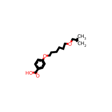 C=C(C)COCCCCCCOc1ccc(C(=O)O)cc1